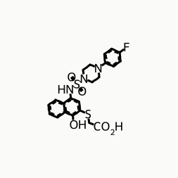 O=C(O)CSc1cc(NS(=O)(=O)N2CCN(c3ccc(F)cc3)CC2)c2ccccc2c1O